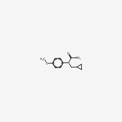 COc1ccc(N(CC2CC2)C(N)=O)cc1